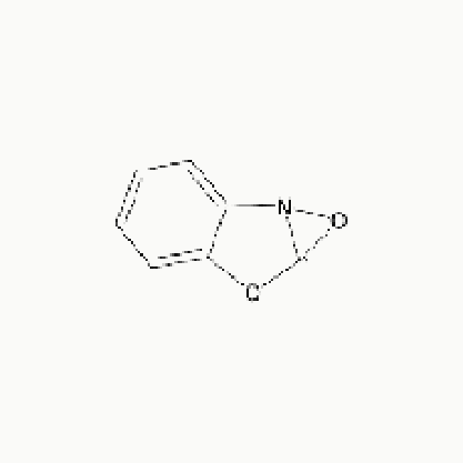 c1ccc2c(c1)O[C]1ON12